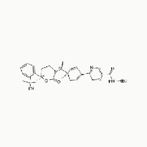 C[C@H](N1CC[C@](CC(C)(C)C#N)(c2ccccc2)OC1=O)C1(C)C=CC(c2ccc(C(=O)NC(C)(C)C)cn2)=CC1